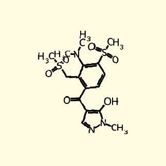 CN(C)c1c(S(C)(=O)=O)ccc(C(=O)c2cnn(C)c2O)c1CS(C)(=O)=O